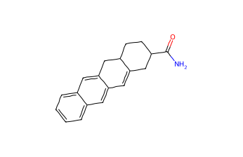 NC(=O)C1CCC2Cc3cc4ccccc4cc3C=C2C1